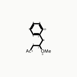 COC(CC(C)=O)Cc1ccccc1